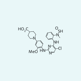 COc1cc(N2CCC(C(=O)O)CC2)ccc1Nc1ncc(Cl)c(Nc2ccccc2N(C)[SH]=O)n1